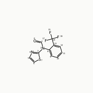 O=CN(c1nccs1)c1ccccc1C(F)(F)F